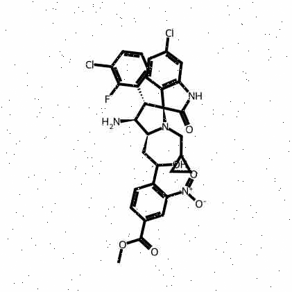 COC(=O)c1ccc(C(O)C[C@H]2[C@@H](N)[C@H](c3cccc(Cl)c3F)[C@]3(C(=O)Nc4cc(Cl)ccc43)N2CC2CC2)c([N+](=O)[O-])c1